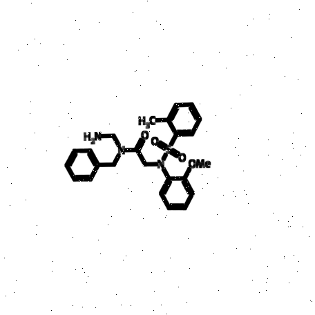 COc1ccccc1N(CC(=O)N(CN)Cc1ccccc1)S(=O)(=O)c1ccccc1C